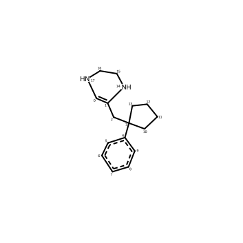 C1=C(CC2(c3ccccc3)CCCC2)NCCN1